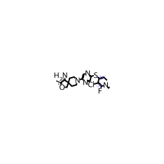 C=N/C(F)=C(Cl)\C(=C/C)Sc1cnc(N2CCC3(CC2)CO[C@@H](C)[C@H]3N)cn1